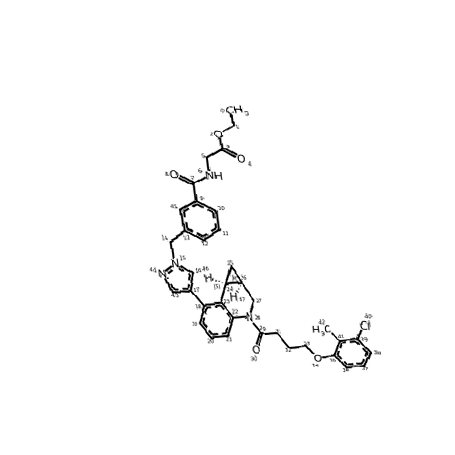 CCOC(=O)CNC(=O)c1cccc(Cn2cc(-c3cccc4c3[C@H]3C[C@H]3CN4C(=O)CCCOc3cccc(Cl)c3C)cn2)c1